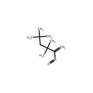 C=C(N=O)C(C)(C)CC(C)(C)C